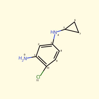 Nc1cc(NC2CC2)ccc1Cl